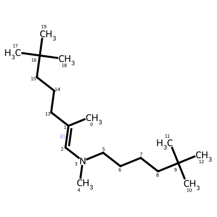 C/C(=C\N(C)CCCCC(C)(C)C)CCCC(C)(C)C